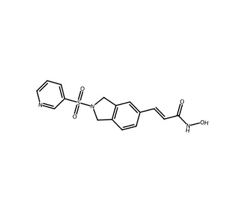 O=C(C=Cc1ccc2c(c1)CN(S(=O)(=O)c1cccnc1)C2)NO